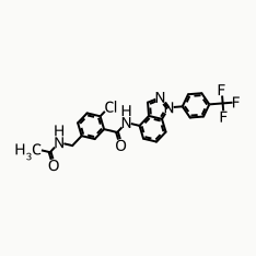 CC(=O)NCc1ccc(Cl)c(C(=O)Nc2cccc3c2cnn3-c2ccc(C(F)(F)F)cc2)c1